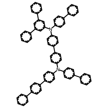 c1ccc(-c2ccc(-c3ccc(N(c4ccc(-c5ccccc5)cc4)c4ccc(-c5ccc(N(c6ccc(-c7ccccc7)cc6)c6cc(-c7ccccc7)cc(-c7ccccc7)c6)cc5)cc4)cc3)cc2)cc1